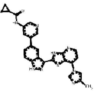 Cc1cn(-c2ccnc3[nH]c(-c4n[nH]c5ccc(-c6cncc(NC(=O)C7CC7)c6)cc45)nc23)cn1